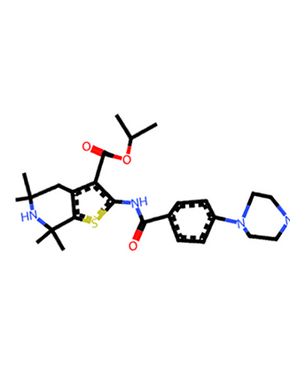 CC(C)OC(=O)c1c(NC(=O)c2ccc(N3CCN(C)CC3)cc2)sc2c1CC(C)(C)NC2(C)C